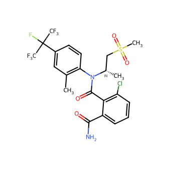 Cc1cc(C(F)(C(F)(F)F)C(F)(F)F)ccc1N(C(=O)c1c(Cl)cccc1C(N)=O)[C@@H](C)CS(C)(=O)=O